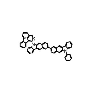 c1ccc(-n2c3ccccc3c3cc4cc(-c5ccc6cc7c(cc6c5)c5ccccc5n7-c5ncc6cccc7c6c5-c5ccccc5-7)ccc4cc32)cc1